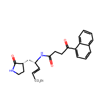 CCOC(=O)/C=C/[C@H](C[C@@H]1CCNC1=O)NC(=O)CCC(=O)c1cccc2ccccc12